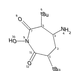 CC(C)(C)C1CC(N)C(C(C)(C)C)C(=O)N(O)C1=O